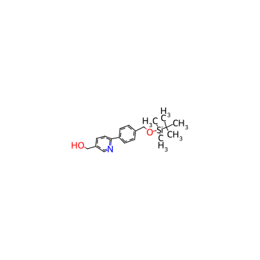 CC(C)(C)[Si](C)(C)OCc1ccc(-c2ccc(CO)cn2)cc1